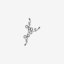 C#CCSCC(=O)OCC(COC(=O)CSCC#C)OC(=O)CSCC#C